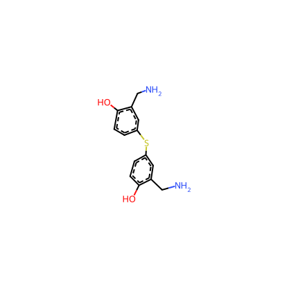 NCc1cc(Sc2ccc(O)c(CN)c2)ccc1O